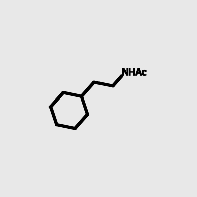 CC(=O)NCCC1CCCCC1